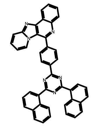 c1ccc2c(-c3nc(-c4ccc(-c5nc6ccccc6c6nc7ccccn7c56)cc4)nc(-c4cccc5ccccc45)n3)cccc2c1